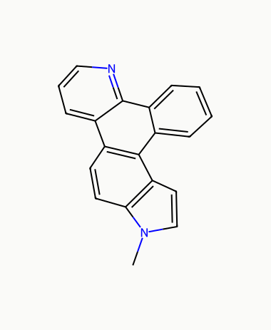 Cn1ccc2c3c4ccccc4c4ncccc4c3ccc21